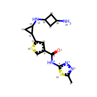 Cc1nnc(NC(=O)c2csc(C3CC3NC3CC(N)C3)c2)s1